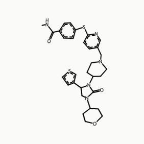 CNC(=O)c1ccc(Sc2ccc(CN3CCC(N4C(=O)N(C5CCOCC5)CC4c4ccsc4)CC3)cn2)cc1